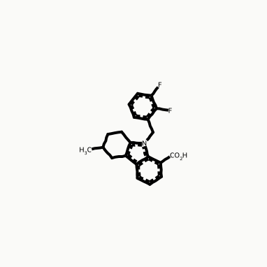 CC1CCc2c(c3cccc(C(=O)O)c3n2Cc2cccc(F)c2F)C1